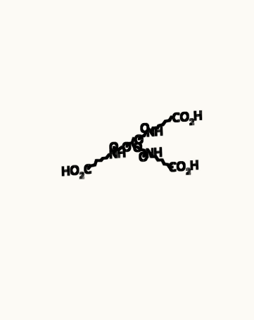 O=C(O)CCCCCCCNC(=O)CCOCC(COCCC(=O)NCCCCCCCC(=O)O)COCCC(=O)NCCCCCCCC(=O)O